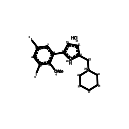 COc1c(I)cc(I)cc1-c1ccc(CN2CCCCC2)[nH]1.Cl